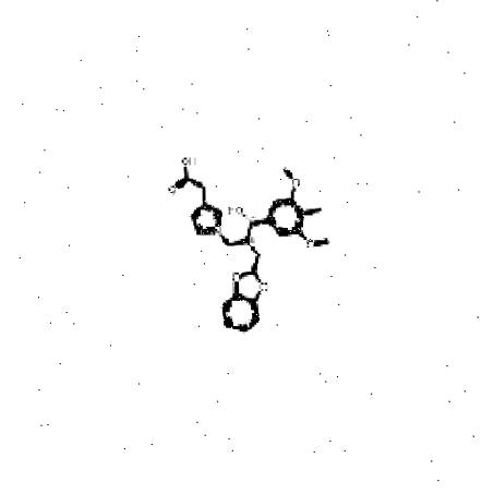 COc1cc([C@@H](O)[C@@H](CC2Oc3ccccc3O2)Cn2ccc(CC(=O)O)c2)cc(OC)c1C